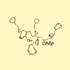 COC(COCc1ccccc1)CC(OCc1ccccc1)C(CCc1cc(OCc2ccccc2)ccc1O)OCc1ccccc1